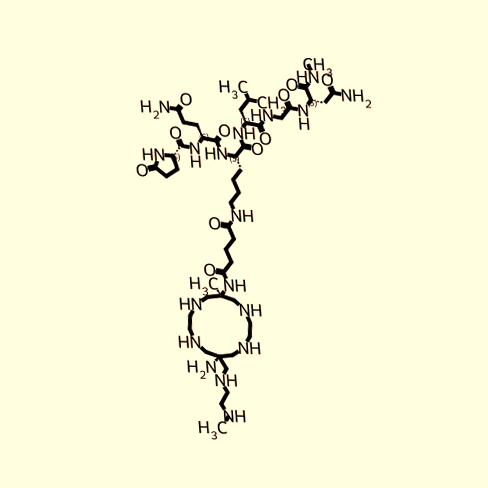 CNCCNC[C@]1(N)CNCCNC[C@@](C)(NC(=O)CCCC(=O)NCCCC[C@H](NC(=O)[C@H](CCC(N)=O)NC(=O)[C@@H]2CCC(=O)N2)C(=O)N[C@@H](CC(C)C)C(=O)NCC(=O)N[C@@H](CC(N)=O)C(=O)NC)CNCCNC1